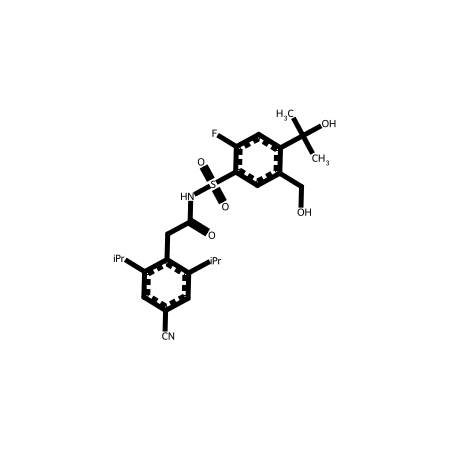 CC(C)c1cc(C#N)cc(C(C)C)c1CC(=O)NS(=O)(=O)c1cc(CO)c(C(C)(C)O)cc1F